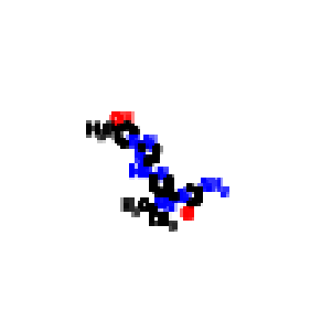 CC(C)n1nc(N2CC(N)CC2=O)c2cnc(Nc3ccnc(N4CCC(C)(O)CC4)n3)cc21